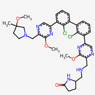 COc1nc(-c2cccc(-c3cccc(-c4cnc(CN5CCC(C)(OC)C5)c(OC)n4)c3Cl)c2Cl)cnc1CNCC1CCC(=O)N1